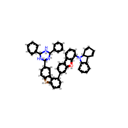 C1=CC2c3ccccc3N(c3cccc4c3oc3cc(-c5cccc6sc7ccc(C8=NC(c9ccccc9)NC(c9ccccc9)N8)cc7c56)ccc34)C2C=C1